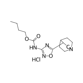 CCCCOC(=O)Nc1noc(C2CN3CCC2CC3)n1.Cl